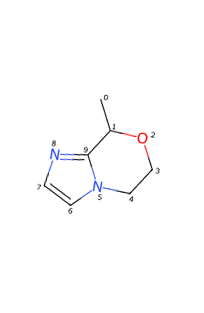 CC1OCCn2ccnc21